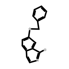 Clc1nccc2ccc(OCc3ccccc3)cc12